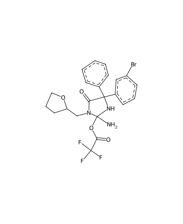 NC1(OC(=O)C(F)(F)F)NC(c2ccccc2)(c2cccc(Br)c2)C(=O)N1CC1CCCO1